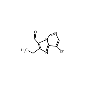 CCc1nc2c(Br)cncn2c1C=O